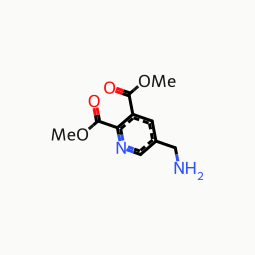 COC(=O)c1cc(CN)cnc1C(=O)OC